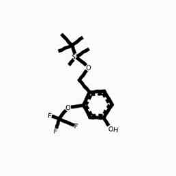 CC(C)(C)[Si](C)(C)OCc1ccc(O)cc1OC(F)(F)F